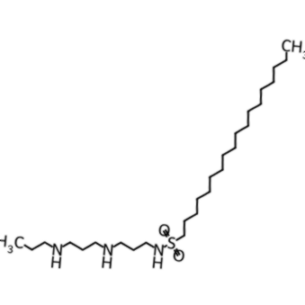 CCCCCCCCCCCCCCCCCCS(=O)(=O)NCCCNCCCNCCC